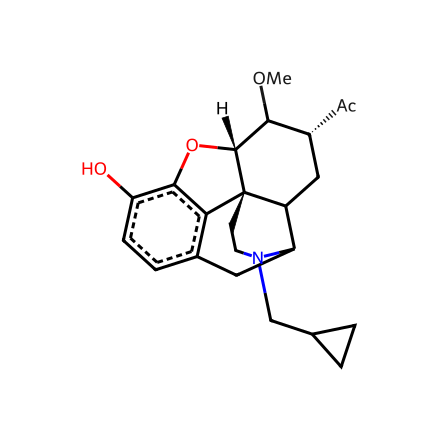 COC1[C@H]2Oc3c(O)ccc4c3[C@]23CCN(CC2CC2)C(C4)C3C[C@H]1C(C)=O